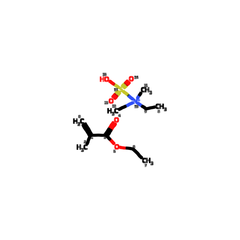 C=C(C)C(=O)OCC.CC[N+](C)(C)S(=O)(=O)O